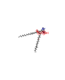 CCCCCCCCCCCCCCCCCC(=O)OCC(CC(C[N+](C)(C)C)OP(=O)([O-])O)OC(=O)CCCCCCCCCCCCCCCCC